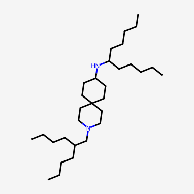 CCCCCC(CCCCC)NC1CCC2(CC1)CCN(CC(CCCC)CCCC)CC2